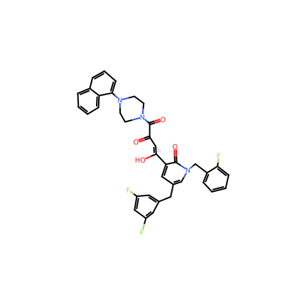 O=C(/C=C(\O)c1cc(Cc2cc(F)cc(F)c2)cn(Cc2ccccc2F)c1=O)C(=O)N1CCN(c2cccc3ccccc23)CC1